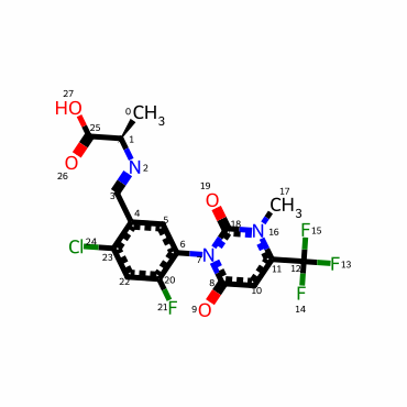 C[C@@H](/N=C/c1cc(-n2c(=O)cc(C(F)(F)F)n(C)c2=O)c(F)cc1Cl)C(=O)O